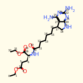 CCOC(=O)CC[C@H](NC(=O)CCCCCCC1CNc2nc(N)nc(N)c21)C(=O)OCC